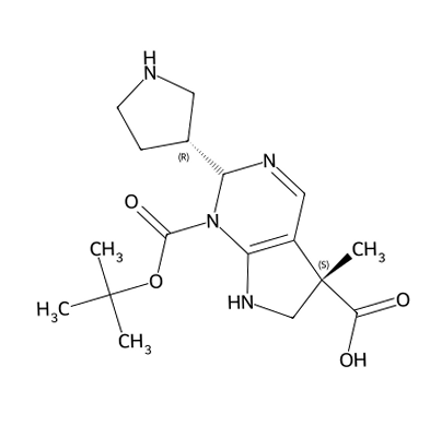 CC(C)(C)OC(=O)N1C2=C(C=NC1[C@@H]1CCNC1)[C@](C)(C(=O)O)CN2